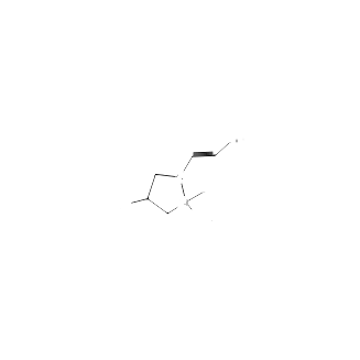 CCCCC=CN1CC(C)C[Si]1(C)C